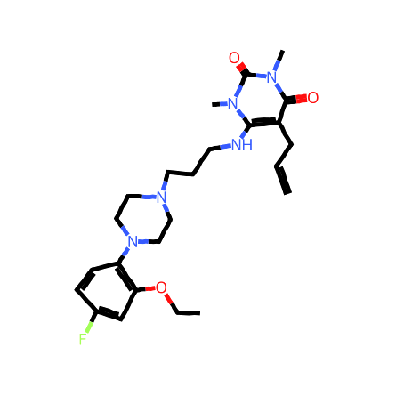 C=CCc1c(NCCCN2CCN(c3ccc(F)cc3OCC)CC2)n(C)c(=O)n(C)c1=O